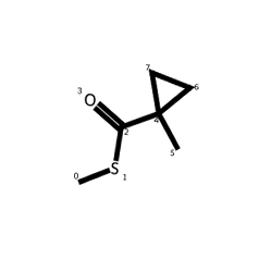 CSC(=O)C1(C)CC1